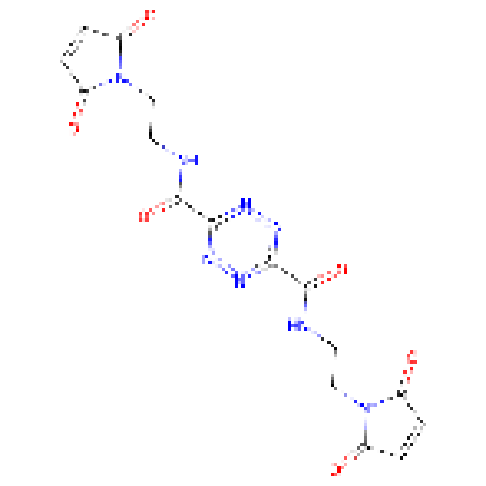 O=C(NCCN1C(=O)C=CC1=O)c1nnc(C(=O)NCCN2C(=O)C=CC2=O)nn1